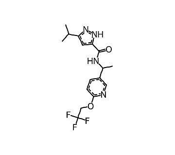 CC(C)c1cc(C(=O)NC(C)c2ccc(OCC(F)(F)F)nc2)[nH]n1